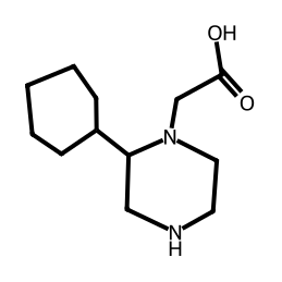 O=C(O)CN1CCNCC1C1CCCCC1